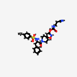 Cc1ccc(S(=O)(=O)NC(Cc2ccccc2)C(=O)N2CCC3(CC2)CC(OC(=O)NCCC#N)=NO3)cc1